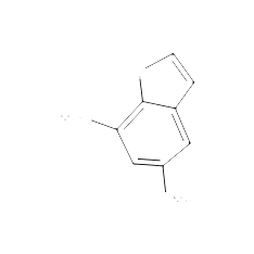 COc1cc(OC)c2o[c]cc2c1